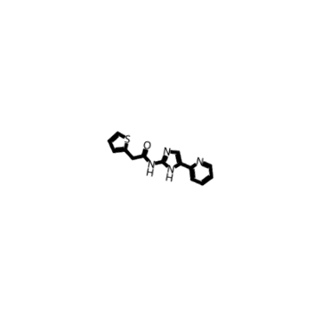 O=C(Cc1cccs1)Nc1ncc(-c2ccccn2)[nH]1